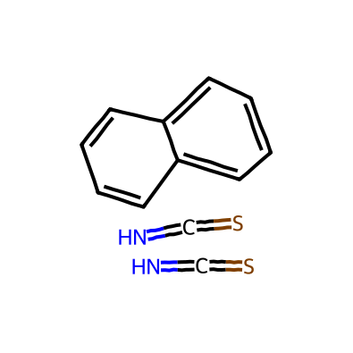 N=C=S.N=C=S.c1ccc2ccccc2c1